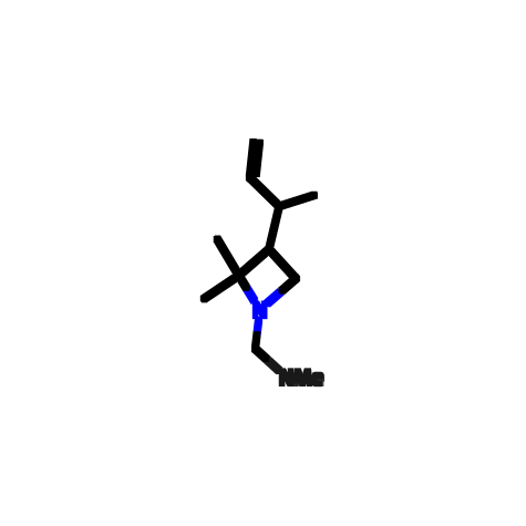 C=CC(C)C1CN(CNC)C1(C)C